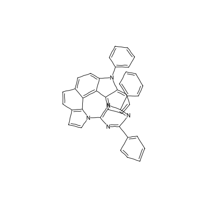 c1ccc(-c2nc(-c3ccccc3)nc(-n3ccc4ccc5ccc6c(c7ccccc7n6-c6ccccc6)c5c43)n2)cc1